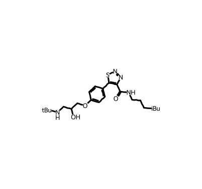 CCC(C)CCCNC(=O)c1nnsc1-c1ccc(OCC(O)CNC(C)(C)C)cc1